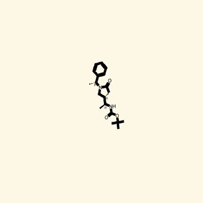 C[C@H](NC(=O)OC(C)(C)C)[C@H]1CC(=O)N([C@H](C)c2ccccc2)C1